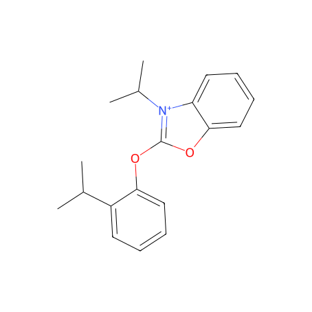 CC(C)c1ccccc1Oc1oc2ccccc2[n+]1C(C)C